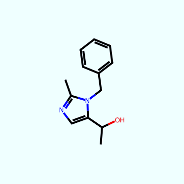 Cc1ncc(C(C)O)n1Cc1ccccc1